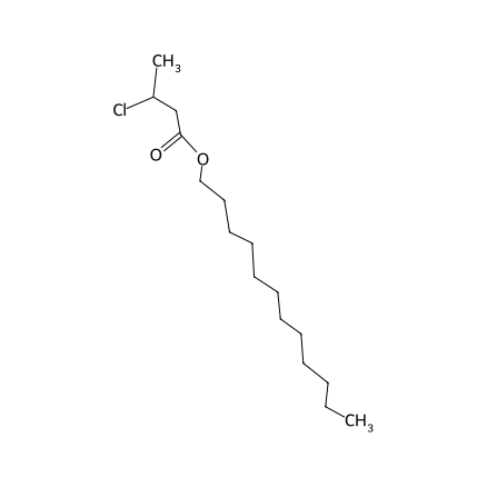 CCCCCCCCCCCCOC(=O)CC(C)Cl